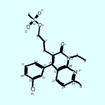 CCn1c(=O)c(CCCOS(C)(=O)=O)c(-c2cccc(Cl)c2)c2ccc(C)nc21